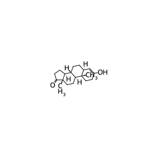 C[C@]12CCC(O)=C[C@@H]1CC[C@@H]1[C@@H]2CC[C@]2(C)C(=O)CC[C@@H]12